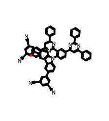 N#Cc1cc(C#N)cc(-c2ccc3c(c2)c2cc(-c4cc(C#N)cc(C#N)c4)ccc2n3-c2ccc(-c3cc(-c4ccccc4)nc(-c4ccccc4)n3)cc2-c2nc(-c3ccccc3)cc(-c3ccccc3)n2)c1